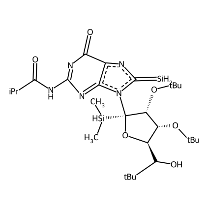 CC(C)C(=O)NC1=NC(=O)c2nc(=[SiH2])n([C@]3([SiH](C)C)O[C@H](C(O)C(C)(C)C)[C@@H](OC(C)(C)C)[C@H]3OC(C)(C)C)c2=N1